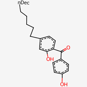 CCCCCCCCCCCCCCCc1ccc(C(=O)c2ccc(O)cc2)c(O)c1